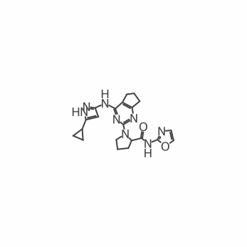 O=C(Nc1ncco1)C1CCCN1c1nc2c(c(Nc3cc(C4CC4)[nH]n3)n1)CCC2